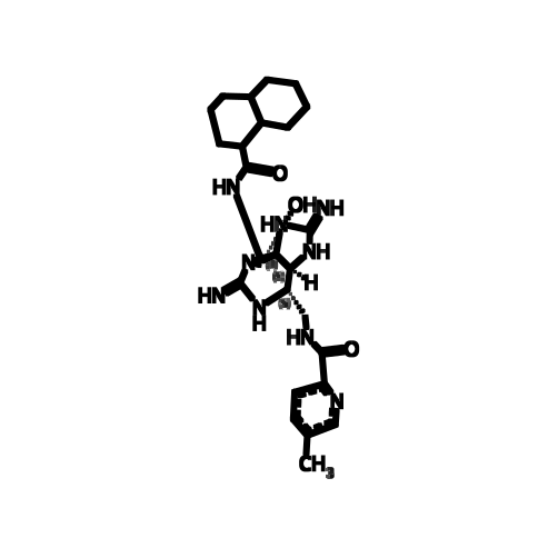 Cc1ccc(C(=O)NC[C@@H]2NC(=N)N3CC(NC(=O)C4CCCC5CCCCC54)[C@@H](O)C34NC(=N)N[C@@H]24)nc1